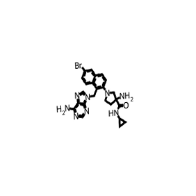 Nc1ncnc2c1ncn2Cc1c(N2CCC(N)(C(=O)NC3CC3)C2)ccc2cc(Br)ccc12